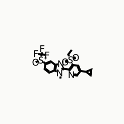 CCS(=O)(=O)c1cc(C2CC2)cnc1-c1nc2cc([S+]([O-])C(F)(F)F)ccc2n1C